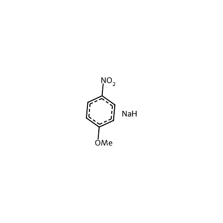 COc1ccc([N+](=O)[O-])cc1.[NaH]